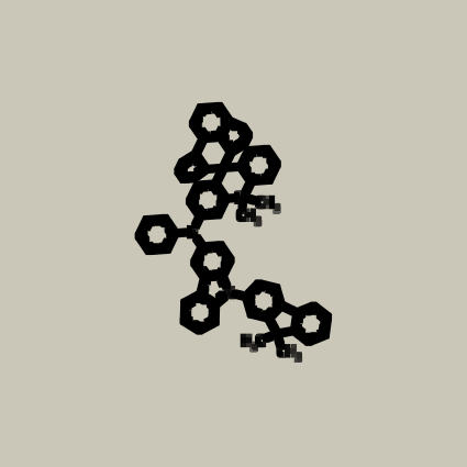 CC1(C)c2ccccc2-c2ccc(-n3c4ccccc4c4cc(N(c5ccccc5)c5ccc6c(c5)[Si](C)(C)c5ccccc5C65c6ccccc6-c6cccc7cccc5c67)ccc43)cc21